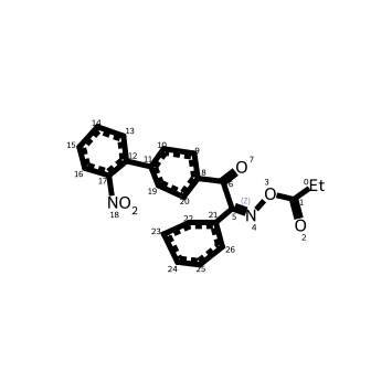 CCC(=O)O/N=C(\C(=O)c1ccc(-c2ccccc2[N+](=O)[O-])cc1)c1ccccc1